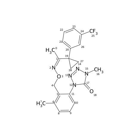 CC(=NOCc1c(C)cccc1-n1nnn(C)c1=O)C1(c2cccc(C(F)(F)F)c2)CC1